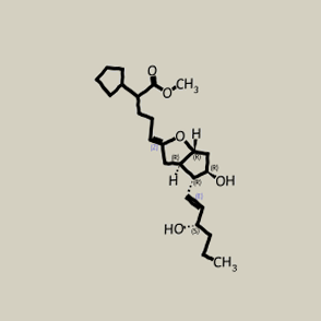 CCC[C@H](O)/C=C/[C@@H]1[C@H]2C/C(=C/CCC(C(=O)OC)C3CCCC3)O[C@@H]2C[C@H]1O